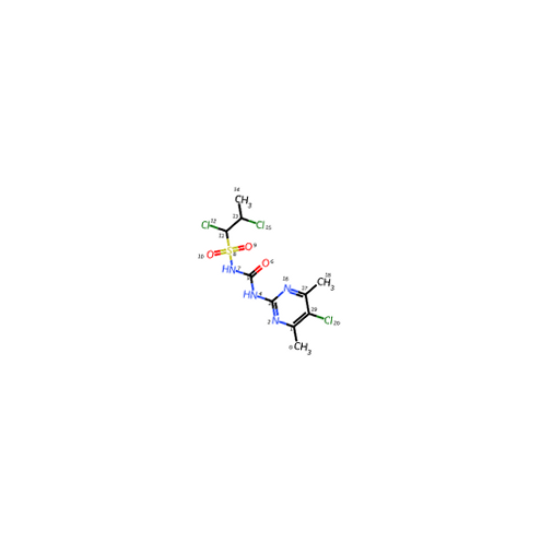 Cc1nc(NC(=O)NS(=O)(=O)C(Cl)C(C)Cl)nc(C)c1Cl